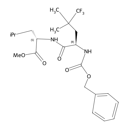 COC(=O)[C@H](CC(C)C)NC(=O)[C@@H](CC(C)(C)C(F)(F)F)NC(=O)OCc1ccccc1